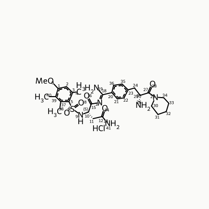 COc1cc(C)c(S(=O)(=O)N[C@@H](CC(N)=O)C(=O)N=C(N)c2ccc(C[C@@H](N)C(=O)N3CCCCC3)cc2)c(C)c1C.Cl